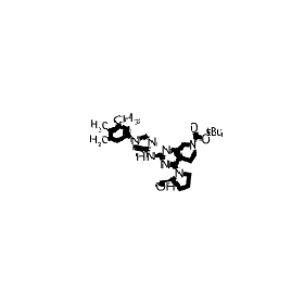 Cc1cc(-n2cnc(Nc3nc4c(c(N5CCC[C@H]5CO)n3)CCN(C(=O)OC(C)(C)C)C4)c2)cc(C)c1C